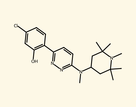 CN(c1ccc(-c2ccc(Cl)cc2O)nn1)C1CC(C)(C)N(C)C(C)(C)C1